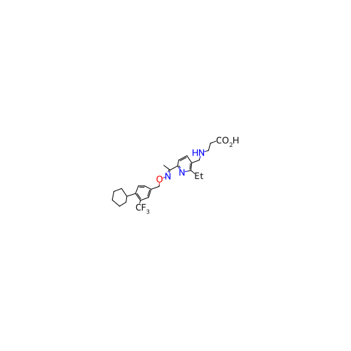 CCc1nc(C(C)=NOCc2ccc(C3CCCCC3)c(C(F)(F)F)c2)ccc1CNCCC(=O)O